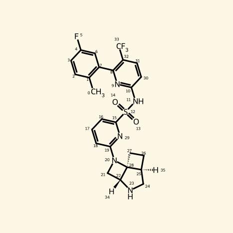 Cc1ccc(F)cc1-c1nc(NS(=O)(=O)c2cccc(N3C[C@H]4NC[C@@H]5CC[C@]543)n2)ccc1C(F)(F)F